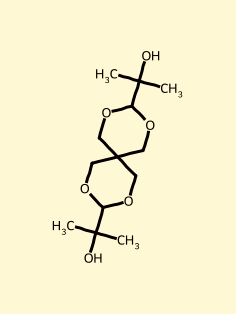 CC(C)(O)C1OCC2(CO1)COC(C(C)(C)O)OC2